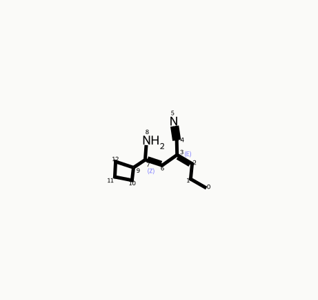 CC/C=C(C#N)\C=C(/N)C1CCC1